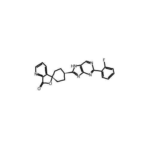 O=C1O[C@]2(CC[C@H](c3nc4nc(-c5ccccc5F)ncc4[nH]3)CC2)c2cccnc21